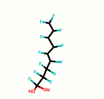 OC(O)(F)C(F)(F)C(F)(F)C(F)C(F)C(F)C(F)C(F)C(F)F